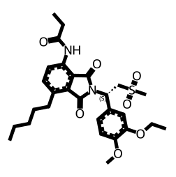 CCCCCc1ccc(NC(=O)CC)c2c1C(=O)N([C@H](CS(C)(=O)=O)c1ccc(OC)c(OCC)c1)C2=O